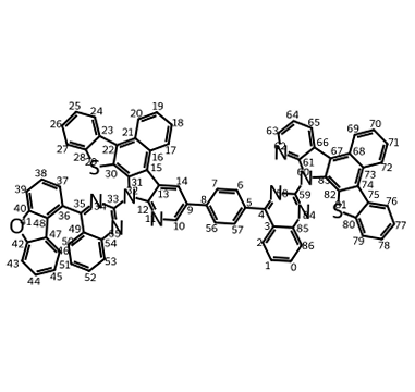 c1ccc2c(-c3ccc(-c4cnc5c(c4)c4c6ccccc6c6c7ccccc7sc6c4n5-c4nc(-c5cccc6oc7ccccc7c56)c5ccccc5n4)cc3)nc(-n3c4ncccc4c4c5ccccc5c5c6ccccc6sc5c43)nc2c1